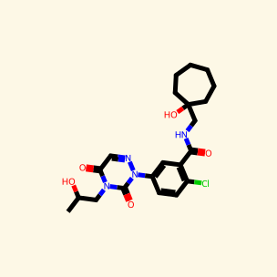 CC(O)Cn1c(=O)cnn(-c2ccc(Cl)c(C(=O)NCC3(O)CCCCCC3)c2)c1=O